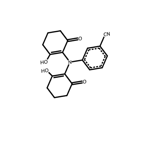 N#Cc1cccc(N(C2=C(O)CCCC2=O)C2=C(O)CCCC2=O)c1